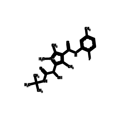 Cc1ccc(F)c(NC(=O)c2c(C)c(C(O)C(=O)NC(C)(C)C)n(C)c2C)c1